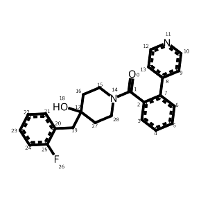 O=C(c1ccccc1-c1ccncc1)N1CCC(O)(Cc2ccccc2F)CC1